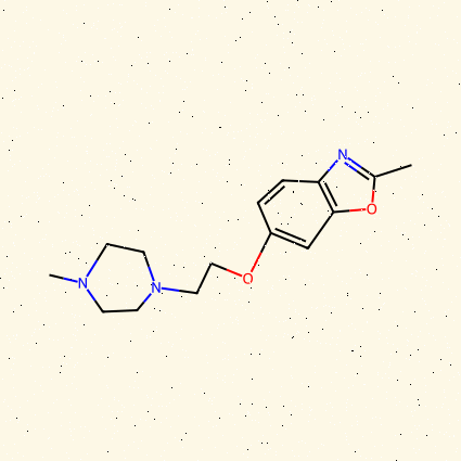 Cc1nc2ccc(OCCN3CCN(C)CC3)cc2o1